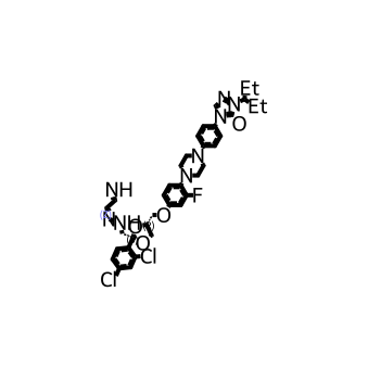 CCC(CC)n1ncn(-c2ccc(N3CCN(c4ccc(OC[C@@H]5CO[C@@](CN/N=C\C=N)(c6ccc(Cl)cc6Cl)O5)cc4F)CC3)cc2)c1=O